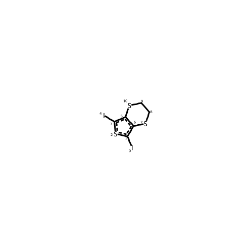 Ic1sc(I)c2c1SCCS2